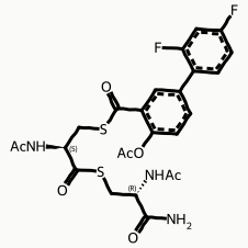 CC(=O)N[C@@H](CSC(=O)[C@H](CSC(=O)c1cc(-c2ccc(F)cc2F)ccc1OC(C)=O)NC(C)=O)C(N)=O